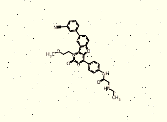 CCNCC(=O)Nc1ccc(-c2nc(=O)n(CCOC)c3c2oc2ccc(-c4cccc(C#N)c4)cc23)cc1